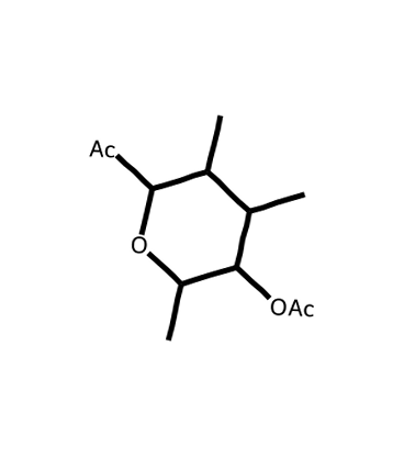 CC(=O)OC1C(C)OC(C(C)=O)C(C)C1C